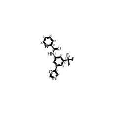 O=C(Nc1cc(-c2cnco2)cc(C(F)(F)F)c1)c1ccccn1